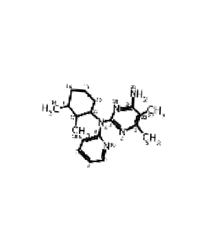 Cc1nc(N(c2ccccn2)C2CCCC(C)C2C)nc(N)c1C